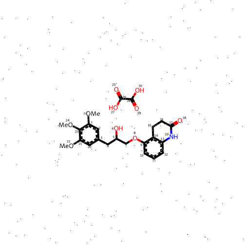 COc1cc(CC(O)COc2cccc3c2CCC(=O)N3)cc(OC)c1OC.O=C(O)C(=O)O